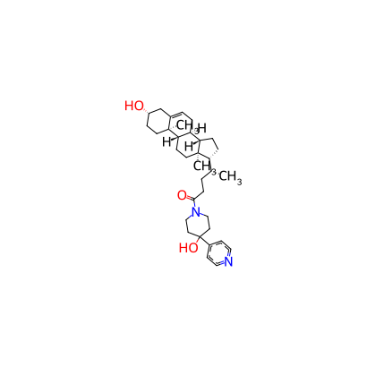 C[C@H](CCC(=O)N1CCC(O)(c2ccncc2)CC1)[C@H]1CC[C@H]2[C@@H]3CC=C4C[C@@H](O)CC[C@]4(C)[C@H]3CC[C@]12C